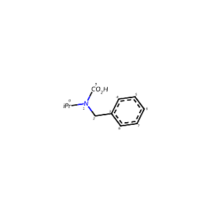 CC(C)N(Cc1ccccc1)C(=O)O